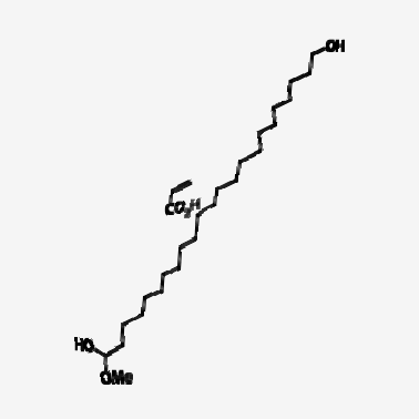 C=CC(=O)O.COC(O)CCCCCCCCCCCCCCCCCCCCCCO